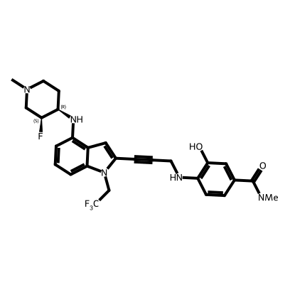 CNC(=O)c1ccc(NCC#Cc2cc3c(N[C@@H]4CCN(C)C[C@@H]4F)cccc3n2CC(F)(F)F)c(O)c1